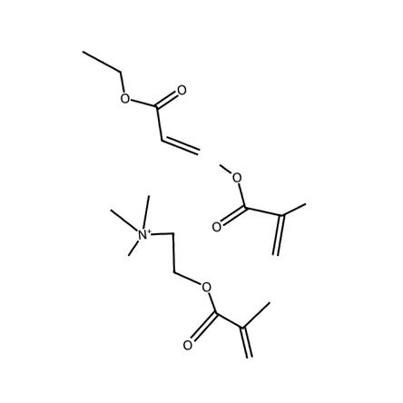 C=C(C)C(=O)OC.C=C(C)C(=O)OCC[N+](C)(C)C.C=CC(=O)OCC